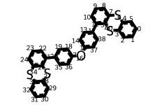 c1ccc2c(c1)Sc1cccc(-c3ccc(Oc4ccc(-c5cccc6c5Sc5ccccc5S6)cc4)cc3)c1S2